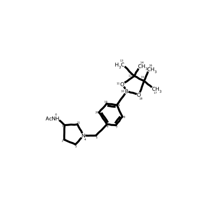 CC(=O)NC1CCN(Cc2ccc(B3OC(C)(C)C(C)(C)O3)cc2)C1